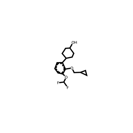 OC1CCC(c2cccc(OC(F)F)c2OCC2CC2)CC1